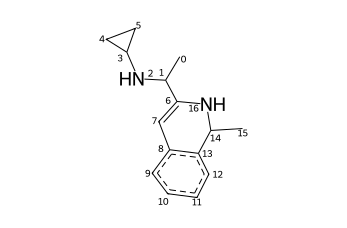 CC(NC1CC1)C1=Cc2ccccc2C(C)N1